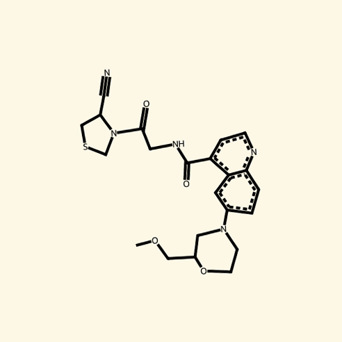 COCC1CN(c2ccc3nccc(C(=O)NCC(=O)N4CSCC4C#N)c3c2)CCO1